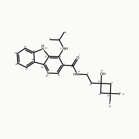 CC(C)Nc1c(C(=O)NCCC2(O)CC(F)(F)C2)cnc2c1[nH]c1ccccc12